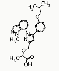 CC(C)COc1cccc(-c2cc(COC(C)C(=O)O)nn2-c2cccc3cnn(C)c23)c1